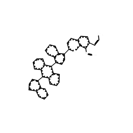 C=Nc1c(/C=C\C)ccc2ccc(-c3ccc(-c4c5ccccc5c(-c5cccc6ccccc56)c5ccccc45)c4ccccc34)nc12